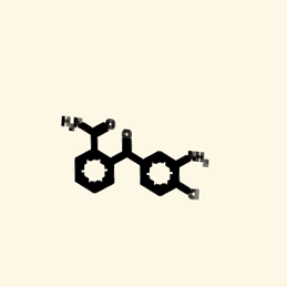 NC(=O)c1ccccc1C(=O)c1ccc(Cl)c(N)c1